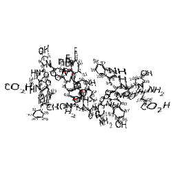 CCCC[C@@H](C(=O)N1C[C@H](O)C[C@@H]1C(=O)N[C@@H](CC(=O)O)C(=O)N[C@H](C(=O)N(C)[C@H](C=O)Cc1ccccc1)C(C)C)N(C)C(=O)[C@H](Cc1ccccc1)N(C)C(=O)[C@H](Cc1cc(F)c(F)c(F)c1)NC(=O)CSC[C@H](NC(=O)[C@H](CC(N)=O)NC(=O)[C@H](Cc1ccc(O)cc1)NC(=O)[C@H](Cc1c[nH]c2ccccc12)NC(=O)[C@H]1C[C@@H](O)CN1C(=O)[C@@H](N)CCC(=O)O)C(=O)NCC(N)=O